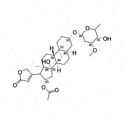 CO[C@@H]1C[C@H](O[C@H]2CC[C@@]3(C)[C@H](CC[C@@H]4[C@@H]3CC[C@]3(C)C(C5=CC(=O)OC5)[C@@H](OC(C)=O)C[C@]43O)C2)OC(C)[C@@H]1O